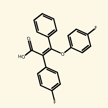 O=C(O)/C(=C(/Oc1ccc(F)cc1)c1ccccc1)c1ccc(F)cc1